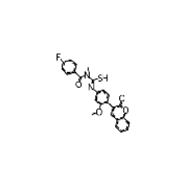 COc1cc(/N=C(\S)N(C)C(=O)c2ccc(F)cc2)ccc1-c1cc2ccccc2oc1=O